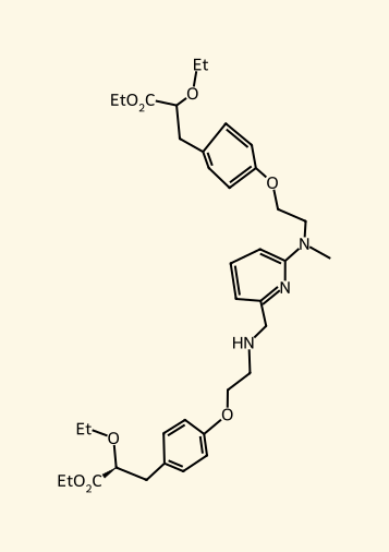 CCOC(=O)C(Cc1ccc(OCCN(C)c2cccc(CNCCOc3ccc(C[C@H](OCC)C(=O)OCC)cc3)n2)cc1)OCC